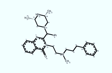 CCCC(c1nc2ccccc2c(=O)n1CCN(C)CCCc1ccccc1)N1C[C@@H](C)N[C@@H](C)C1